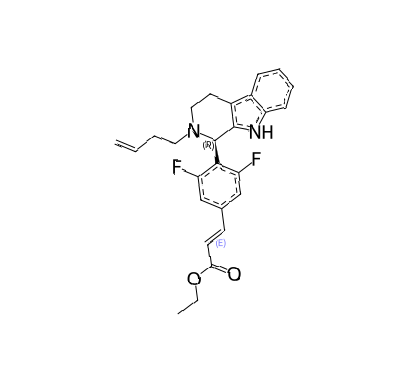 C=CCCN1CCc2c([nH]c3ccccc23)[C@H]1c1c(F)cc(/C=C/C(=O)OCC)cc1F